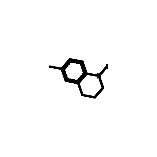 Cc1ccc2c(c1)CCCN2I